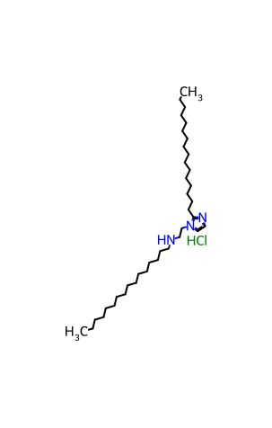 CCCCCCCCCCCCCCCCNCCn1ccnc1CCCCCCCCCCCCCCCC.Cl